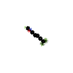 Fc1ccc2nc(-c3ccc(-c4ccc5cc(C6C=CC(c7cc(C(F)(F)F)cc(C(F)(F)F)c7)=CC6)ccc5c4)cc3)oc2c1